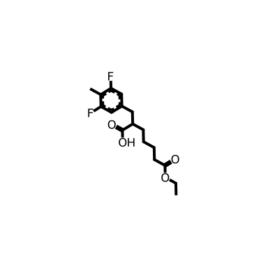 CCOC(=O)CCCCC(Cc1cc(F)c(C)c(F)c1)C(=O)O